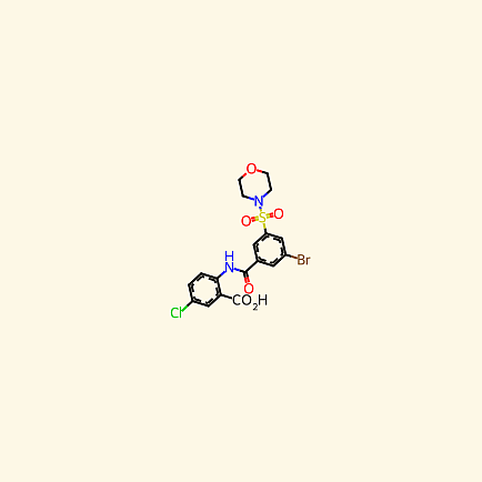 O=C(Nc1ccc(Cl)cc1C(=O)O)c1cc(Br)cc(S(=O)(=O)N2CCOCC2)c1